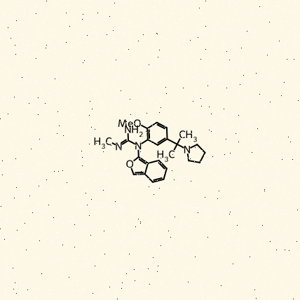 CN=C(N)N(c1cc(C(C)(C)N2CCCC2)ccc1OC)c1occ2ccccc12